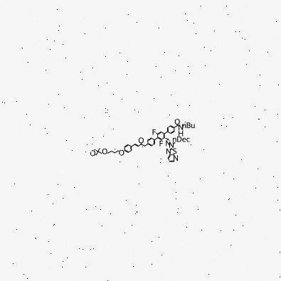 CCCCCCCCCCCN(/N=C/c1c(-c2ccc(C(=O)NCCCC)cc2)cc(F)c(-c2ccc(CC(=O)/C=C/c3ccc(OCCCCOCC4(C)COC4)cc3)cc2)c1F)c1nc2cccnc2s1